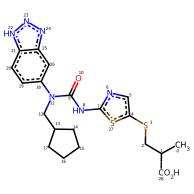 CC(CSc1cnc(NC(=O)N(CC2CCCC2)c2ccc3[nH]nnc3c2)s1)C(=O)O